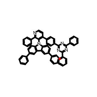 c1ccc(-c2ccc3c(c2)c2cc(-c4ccccc4)ccc2n3-c2c(-c3ccc(-c4nc(-c5ccccc5)nc(-c5ccccc5)n4)cc3)ccnc2-c2ccccc2)cc1